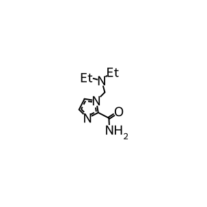 CCN(CC)Cn1ccnc1C(N)=O